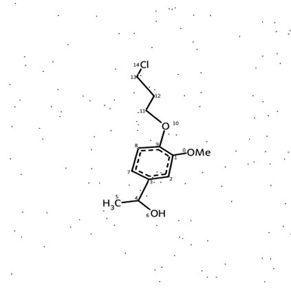 COc1cc(C(C)O)ccc1OCCCCl